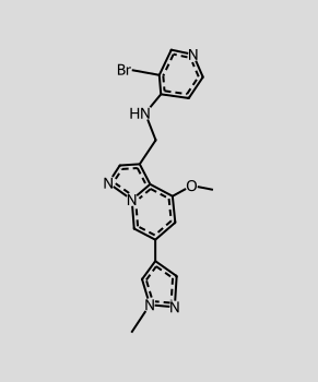 COc1cc(-c2cnn(C)c2)cn2ncc(CNc3ccncc3Br)c12